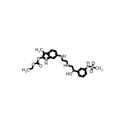 CCOC(=O)Oc1[nH]c2cc(NCCNC[C@H](O)c3cccc(NS(C)(=O)=O)c3)ccc2c1C